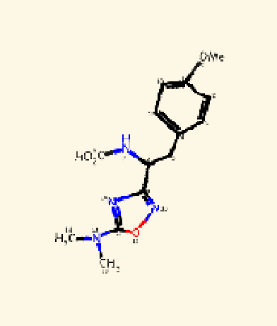 COc1ccc(CC(NC(=O)O)c2noc(N(C)C)n2)cc1